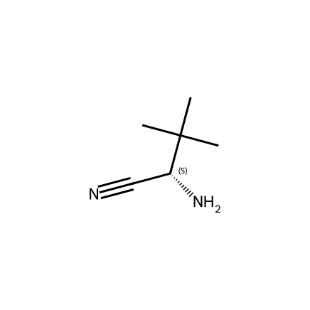 CC(C)(C)[C@H](N)C#N